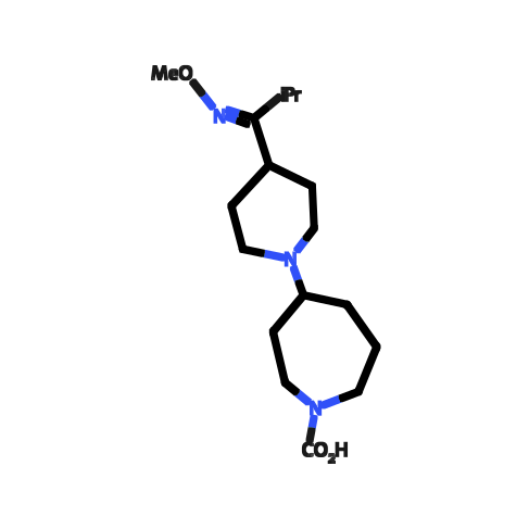 CON=C(C(C)C)C1CCN(C2CCCN(C(=O)O)CC2)CC1